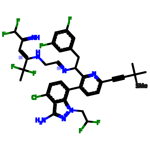 CSC(C)(C)C#Cc1ccc(-c2ccc(Cl)c3c(N)nn(CC(F)F)c23)c(C(Cc2cc(F)cc(F)c2)/N=C/CN/C(=C\C(=N)C(F)F)C(C)(F)F)n1